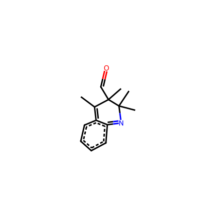 CC1=c2ccccc2=NC(C)(C)C1(C)C=O